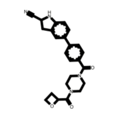 N#CC1Cc2cc(-c3ccc(C(=O)N4CCN(C(=O)C5CCO5)CC4)cc3)ccc2N1